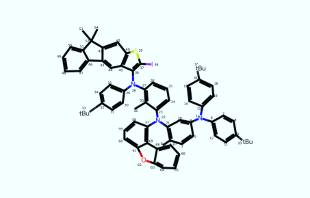 Cc1ccc(N(c2ccc(C(C)(C)C)cc2)c2ccc(C(C)(C)C)cc2)cc1N(c1cccc(N(c2ccc(C(C)(C)C)cc2)c2c(I)sc3cc4c(cc23)-c2ccccc2C4(C)C)c1C)c1cccc2oc3ccccc3c12